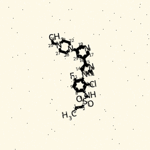 CCCS(=O)(=O)Nc1ccc(F)c(-n2cc(-c3cncc(N4CCN(CC)CC4)c3)nn2)c1Cl